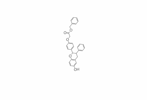 O=C(COc1ccc(C2Oc3ccc(O)cc3CC2c2ccccc2)cc1)OCc1ccccc1